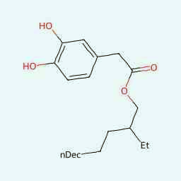 CCCCCCCCCCCCC(CC)COC(=O)Cc1ccc(O)c(O)c1